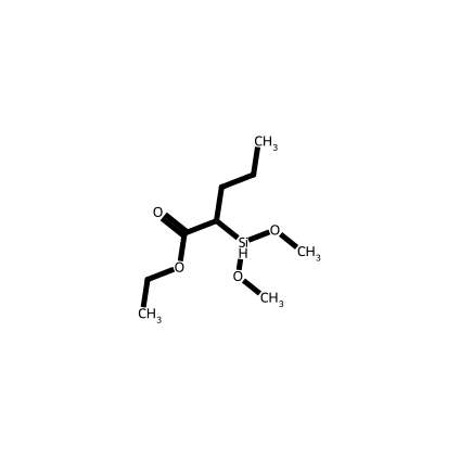 CCCC(C(=O)OCC)[SiH](OC)OC